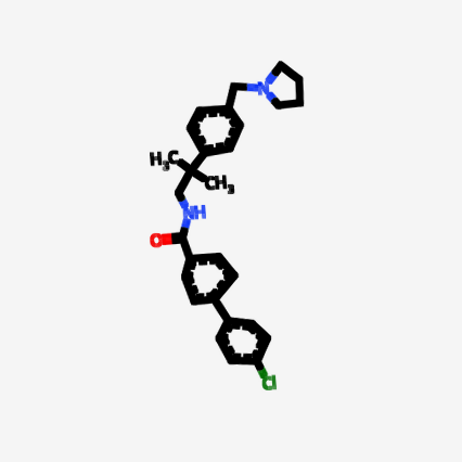 CC(C)(CNC(=O)c1ccc(-c2ccc(Cl)cc2)cc1)c1ccc(CN2CCCC2)cc1